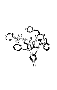 O=C(CN1CCOCC1)N[C@@H](Cc1ccccc1)C(=O)N[C@@H](Cc1c[nH]cn1)C(=O)N[C@@H](CC1CCCCC1)[C@@H](O)CNS(=O)(=O)N1CCOCC1